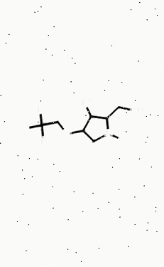 CCC1C(F)C(OCC(F)(F)F)CN1C